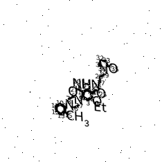 CCOc1cc(N2CCN(c3ccccc3C)CC2)c(C(N)=O)cc1C(=O)NCCCN1CCCC1=O